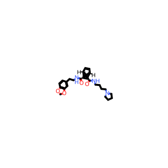 O=C(NCCCCN1CCCC1)[C@H]1[C@H](C(=O)NCCc2ccc3c(c2)OCO3)[C@@H]2C=C[C@H]1C21CC1